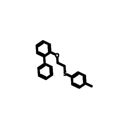 Cc1ccc(SCCOc2ccccc2-c2ccccc2)cc1